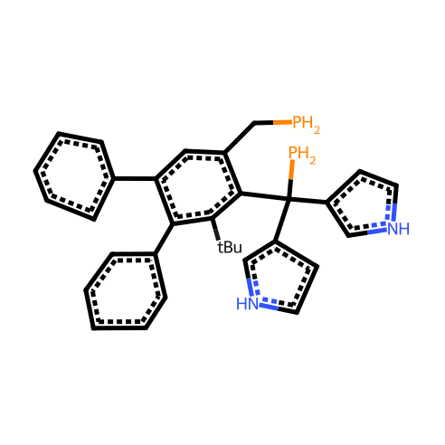 CC(C)(C)c1c(-c2ccccc2)c(-c2ccccc2)cc(CP)c1C(P)(c1cc[nH]c1)c1cc[nH]c1